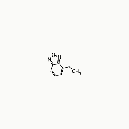 CCc1cccc2nonc12